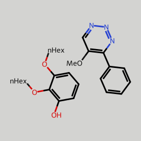 CCCCCCOc1cccc(O)c1OCCCCCC.COc1cnnnc1-c1ccccc1